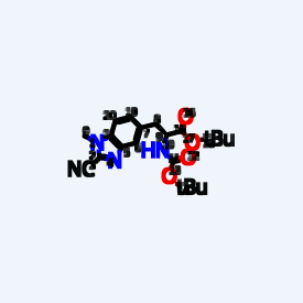 Cn1c(C#N)nc2cc(C[C@H](NC(=O)OC(C)(C)C)C(=O)OC(C)(C)C)ccc21